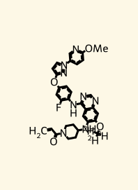 [2H]C([2H])([2H])Oc1cc2ncnc(Nc3ccc(Oc4ccn(-c5ccc(OC)nc5)n4)cc3F)c2cc1NC1CCN(C(=O)C=C)CC1